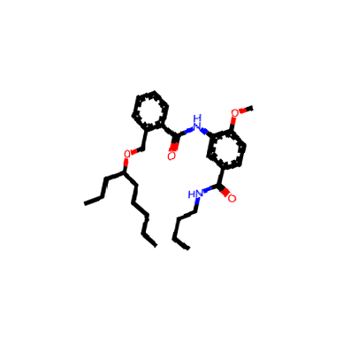 CCCCCC(CCC)OCc1ccccc1C(=O)Nc1cc(C(=O)NCCCC)ccc1OC